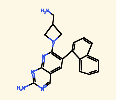 NCC1CN(c2nc3nc(N)ncc3cc2-c2cccc3ccccc23)C1